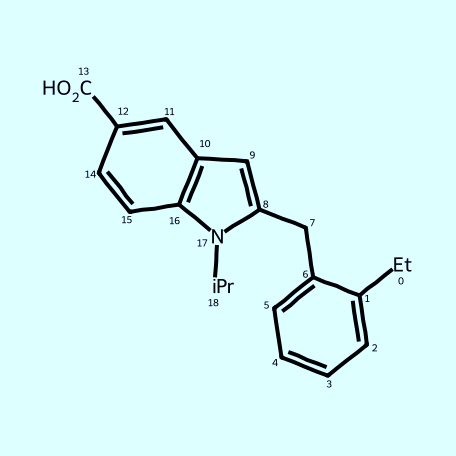 CCc1ccccc1Cc1cc2cc(C(=O)O)ccc2n1C(C)C